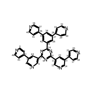 c1cc(-c2cncc(-c3nc(-c4cncc(-c5ccncc5)c4)nc(-c4cc(-c5ccncc5)cc(-c5ccncc5)c4)n3)c2)ccn1